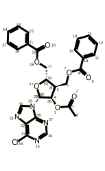 CC(=O)O[C@@H]1[C@H](COC(=O)c2ccccc2)[C@@H](COC(=O)c2ccccc2)O[C@H]1n1cnc2c(Cl)ncnc21